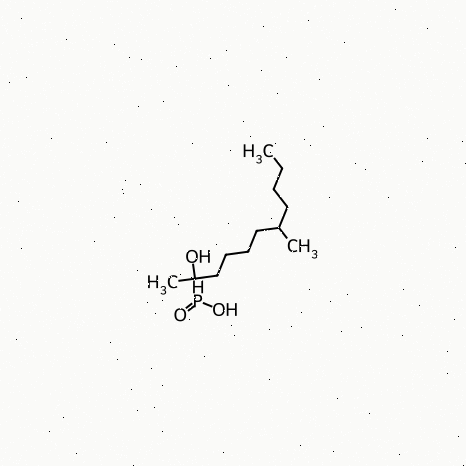 CCCCC(C)CCCCC(C)(O)[PH](=O)O